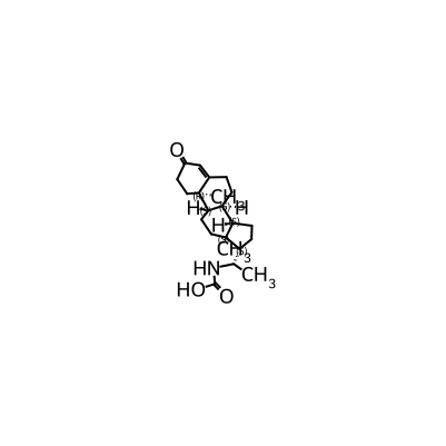 CC(NC(=O)O)[C@H]1CC[C@H]2[C@@H]3CCC4=CC(=O)CC[C@]4(C)[C@H]3CC[C@]12C